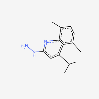 Cc1ccc(C)c2c(C(C)C)cc(NN)nc12